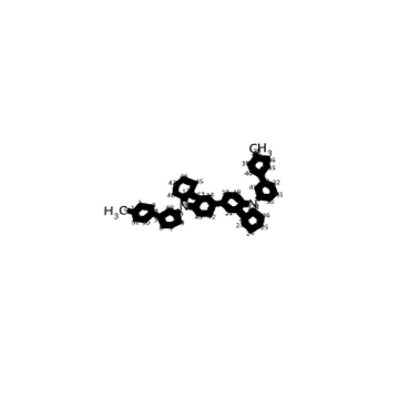 Cc1ccc(-c2cccc(-n3c4c(c5cc(-c6ccc7c(c6)c6ccccc6n7-c6cccc(-c7ccc(C)cc7)c6)ccc53)C=CCC4)c2)cc1